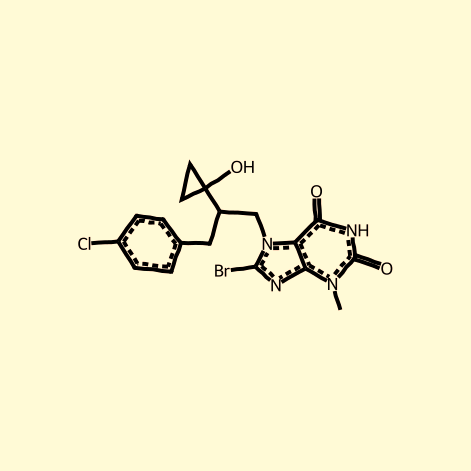 Cn1c(=O)[nH]c(=O)c2c1nc(Br)n2CC(Cc1ccc(Cl)cc1)C1(O)CC1